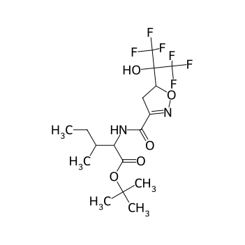 CCC(C)C(NC(=O)C1=NOC(C(O)(C(F)(F)F)C(F)(F)F)C1)C(=O)OC(C)(C)C